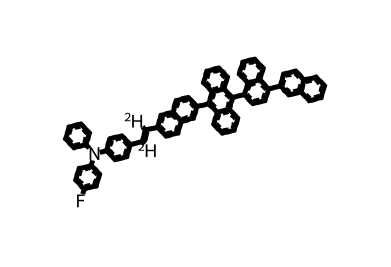 [2H]/C(=C(/[2H])c1ccc2cc(-c3c4ccccc4c(-c4ccc(-c5ccc6ccccc6c5)c5ccccc45)c4ccccc34)ccc2c1)c1ccc(N(c2ccccc2)c2ccc(F)cc2)cc1